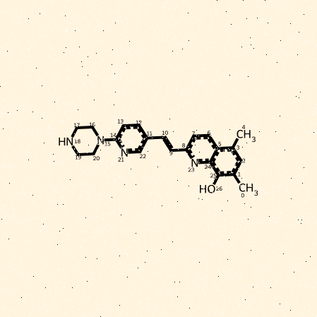 Cc1cc(C)c2ccc(C=Cc3ccc(N4CCNCC4)nc3)nc2c1O